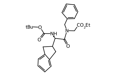 CCOC(=O)CN(Cc1ccccc1)C(=O)[C@H](NC(=O)OC(C)(C)C)C1Cc2ccccc2C1